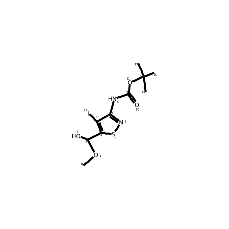 COC(O)c1snc(NC(=O)OC(C)(C)C)c1I